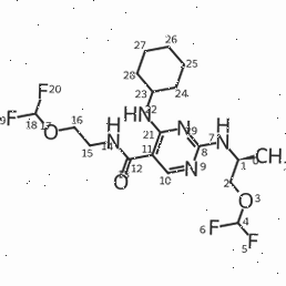 C[C@@H](COC(F)F)Nc1ncc(C(=O)NCCOC(F)F)c(NC2CCCCC2)n1